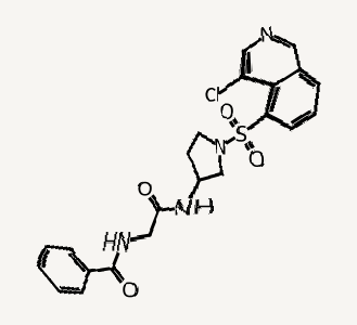 O=C(CNC(=O)c1ccccc1)NC1CCN(S(=O)(=O)c2cccc3cncc(Cl)c23)C1